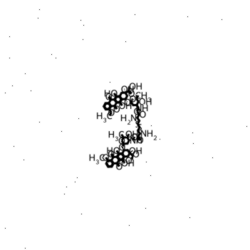 COc1cccc2c1C(=O)c1c(O)c3c(c(O)c1C2=O)C[C@@](O)(C(=O)CO)C[C@@H]3OC1CC(NOC(=O)[C@@H](N)CSSC[C@H](N)C(=O)ONC2CC(O[C@H]3C[C@](O)(C(=O)CO)Cc4c(O)c5c(c(O)c43)C(=O)c3c(OC)cccc3C5=O)OC(C)C2O)C(O)C(C)O1